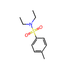 CCN(CC)S(=O)(=O)c1ccc(C)cc1